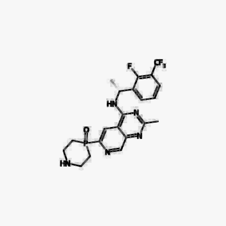 Cc1nc(N[C@H](C)c2cccc(C(F)(F)F)c2F)c2cc(P3(=O)CCNCC3)ncc2n1